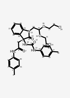 Cc1ccc(NC(=O)C[C@]2(NC(=O)Nc3ccc(C)cc3)C(=O)N(CC(OCCCl)OCCCl)c3ccccc32)cc1